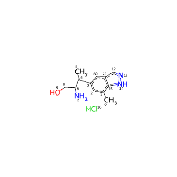 Cc1cc(C(C)C(N)CO)cc2cn[nH]c12.Cl